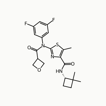 Cc1sc(N(C(=O)C2COC2)c2cc(F)cc(F)c2)nc1C(=O)N[C@H]1CCC1(C)C